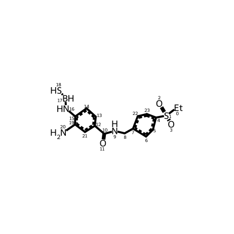 CCS(=O)(=O)c1ccc(CNC(=O)c2ccc(NBS)c(N)c2)cc1